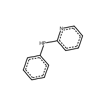 c1ccc(Pc2ccccn2)cc1